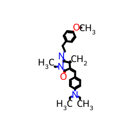 C=C1/C(=C/c2ccc(N(CC)CC)cc2)C(=O)N(CC)/C1=N/CCc1ccc(OC)cc1